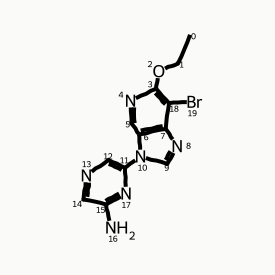 CCOc1ncc2c(ncn2-c2cncc(N)n2)c1Br